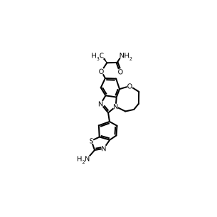 C[C@H](Oc1cc2c3c(c1)nc(-c1ccc4nc(N)sc4c1)n3CCCCO2)C(N)=O